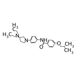 CCN(CC)C1CCN(c2ccc(NC(=O)c3ccc(OCC(C)C)cc3)cc2)C1